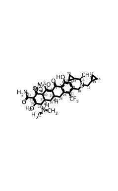 COC1=C2C(=O)c3c(O)cc(CN(CC4CC4)[C@H](C)C4CC4)c(C(F)(F)F)c3C[C@H]2C[C@H]2[C@H](N(C)C)C(O)=C(C(N)=O)C(=O)[C@@]12O